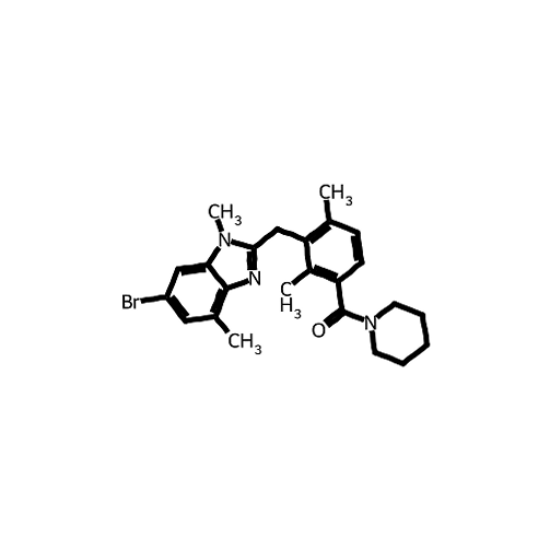 Cc1ccc(C(=O)N2CCCCC2)c(C)c1Cc1nc2c(C)cc(Br)cc2n1C